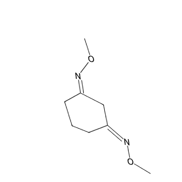 CON=C1CCCC(=NOC)C1